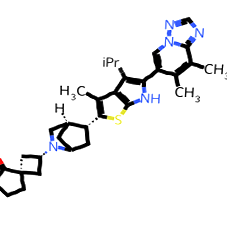 Cc1c(-c2[nH]c3sc([C@@H]4CC5C[C@H]4CN5[C@H]4C[C@@]5(CCCC5=O)C4)c(C)c3c2C(C)C)cn2ncnc2c1C